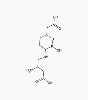 CC(CNC1CCC(CC(=O)O)OB1O)CC(=O)O